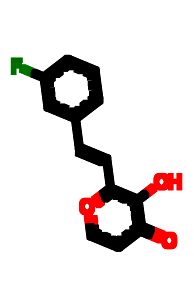 O=c1ccoc(C=Cc2cccc(F)c2)c1O